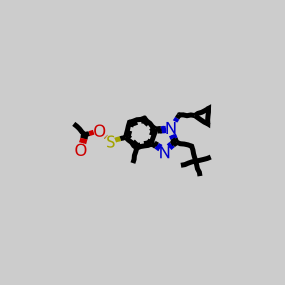 CC(=O)OSc1ccc2c(nc(CC(C)(C)C)n2CC2CC2)c1C